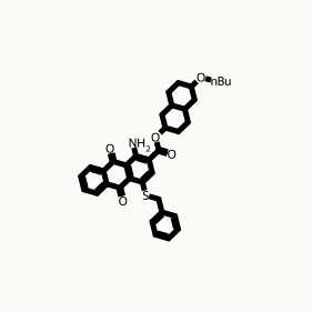 CCCCOC1CCC2CC(OC(=O)c3cc(SCc4ccccc4)c4c(c3N)C(=O)c3ccccc3C4=O)CCC2C1